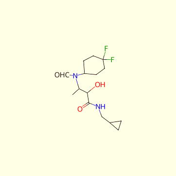 CC(C(O)C(=O)NCC1CC1)N(C=O)C1CCC(F)(F)CC1